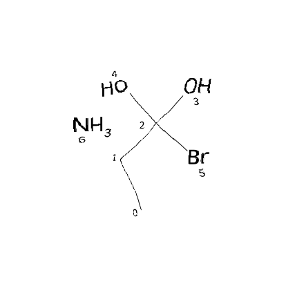 CCC(O)(O)Br.N